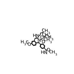 CCCCN[C@H]1Cc2cc(OC)ccc2[C@H](c2ccc(C(=N)OC)cc2)N1C(=O)OC(C)(C)C